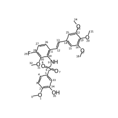 COc1ccc(S(=O)(=O)Nc2c(C=Cc3cc(OC)c(OC)c(OC)c3)ccc(F)c2OC)cc1O